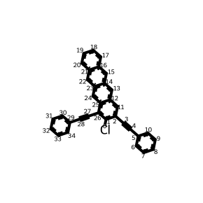 Clc1c(C#Cc2ccccc2)cc2cc3cc4ccccc4cc3cc2c1C#Cc1ccccc1